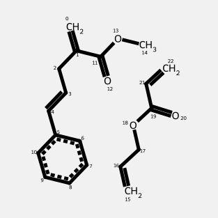 C=C(CC=Cc1ccccc1)C(=O)OC.C=CCOC(=O)C=C